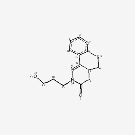 O=C1CC2CSc3ccccc3C2=NN1CCCO